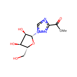 COC(=O)c1ncn([C@@H]2O[C@H](CO)[C@@H](O)[C@H]2O)n1